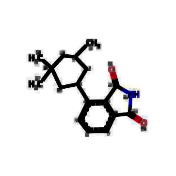 CC1CC(c2cccc3c2C(=O)NC3=O)CC(C)(C)C1